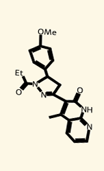 CCC(=O)N1N=C(c2c(C)c3cccnc3[nH]c2=O)CC1c1ccc(OC)cc1